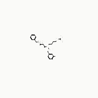 N=C(N)NCCC[C@@H](C(=O)O)N(NCc1ccc(Cl)c(Cl)c1)C(=O)CC(=O)NCc1ccccc1